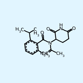 C=C(C)N(C(=O)c1c(C)cccc1C(C)C)C1CCC(=O)NC1=O